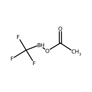 CC(=O)OBC(F)(F)F